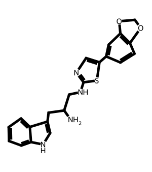 NC(CNc1ncc(-c2ccc3c(c2)OCO3)s1)Cc1c[nH]c2ccccc12